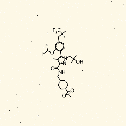 Cc1c(C(=O)NCC2CCC(S(C)(=O)=O)CC2)nn(CC(C)(C)O)c1-c1ccc(CC(C)(C)C(F)(F)F)cc1OC(F)F